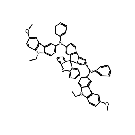 CCn1c2ccc(OC)cc2c2cc(N(C3=CC=CCC3)c3ccc4c(c3)C3(c5ccccc5Sc5ccccc53)c3cc(N(c5ccccc5)c5ccc6c(c5)c5cc(OC)ccc5n6CC)ccc3-4)ccc21